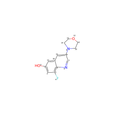 Oc1cc(F)c2ncc(N3CCOCC3)cc2c1